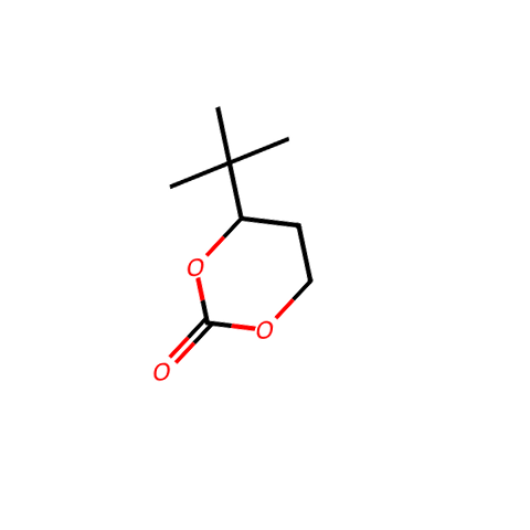 CC(C)(C)C1CCOC(=O)O1